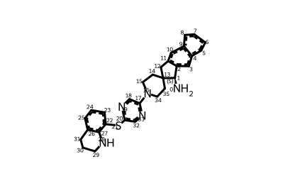 N[C@@H]1c2cc3ccccc3cc2CC12CCN(c1cnc(Sc3cccc4c3NCCC4)cn1)CC2